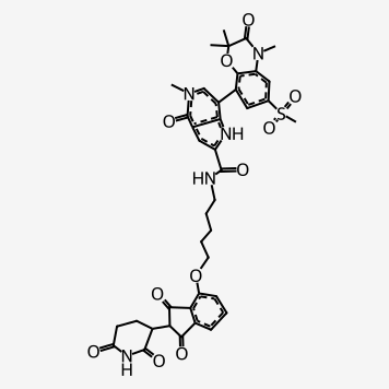 CN1C(=O)C(C)(C)Oc2c(-c3cn(C)c(=O)c4cc(C(=O)NCCCCCOc5cccc6c5C(=O)C(C5CCC(=O)NC5=O)C6=O)[nH]c34)cc(S(C)(=O)=O)cc21